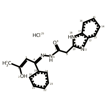 CC(O)=CC(=NNC(=O)Cc1nc2ccccc2[nH]1)c1ccccc1.Cl